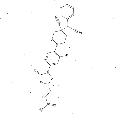 [C-]#[N+]C1(C(C#N)c2cccnc2)CCN(c2ccc(N3C[C@H](CNC(C)=O)OC3=O)cc2F)CC1